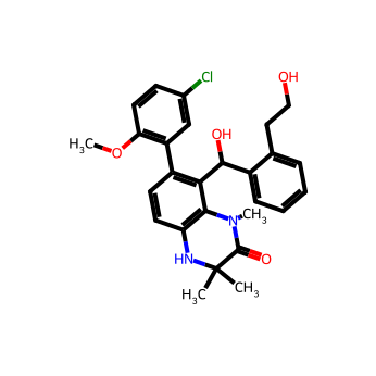 COc1ccc(Cl)cc1-c1ccc2c(c1C(O)c1ccccc1CCO)N(C)C(=O)C(C)(C)N2